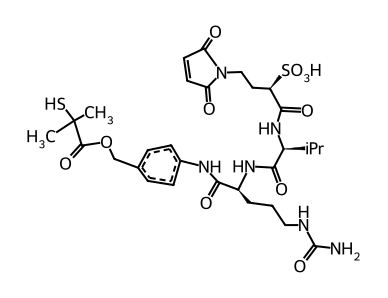 CC(C)[C@H](NC(=O)[C@@H](CCN1C(=O)C=CC1=O)S(=O)(=O)O)C(=O)N[C@@H](CCCNC(N)=O)C(=O)Nc1ccc(COC(=O)C(C)(C)S)cc1